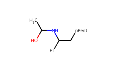 CCCCCCC(CC)NC(C)O